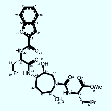 COC(=O)[C@H](CC(C)C)NC(=O)N1C[C@H](O)[C@@H](NC(=O)[C@H](CC(C)C)NC(=O)c2cc3ccccc3o2)CC[C@H]1C